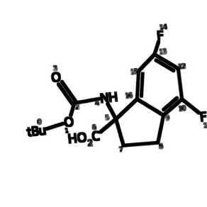 CC(C)(C)OC(=O)NC1(C(=O)O)CCc2c(F)cc(F)cc21